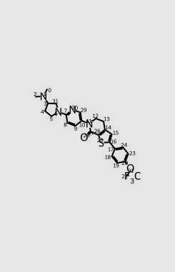 CN(C)C1CCN(c2ccc(N3CCc4cc(-c5ccc(OC(F)(F)F)cc5)sc4C3=O)cn2)C1